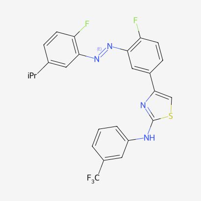 CC(C)c1ccc(F)c(/N=N/c2cc(-c3csc(Nc4cccc(C(F)(F)F)c4)n3)ccc2F)c1